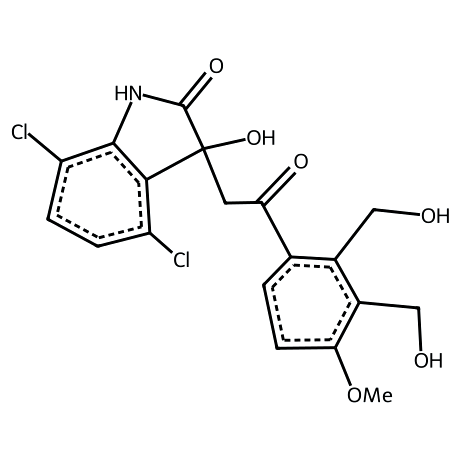 COc1ccc(C(=O)CC2(O)C(=O)Nc3c(Cl)ccc(Cl)c32)c(CO)c1CO